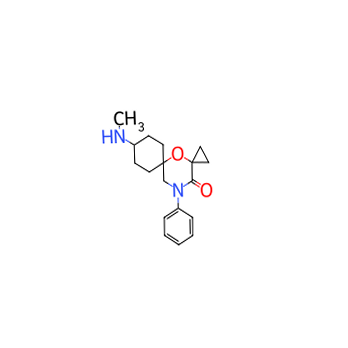 CNC1CCC2(CC1)CN(c1ccccc1)C(=O)C1(CC1)O2